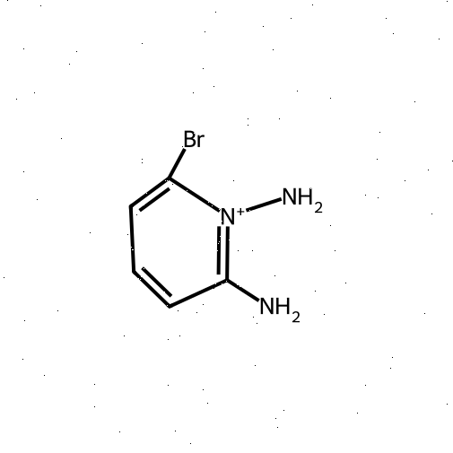 Nc1cccc(Br)[n+]1N